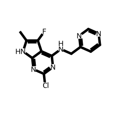 Cc1[nH]c2nc(Cl)nc(NCc3ccncn3)c2c1F